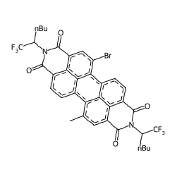 CCCCC(N1C(=O)c2ccc3c4c(Br)cc5c6c(ccc(c7c(C)cc(c2c37)C1=O)c64)C(=O)N(C(CCCC)C(F)(F)F)C5=O)C(F)(F)F